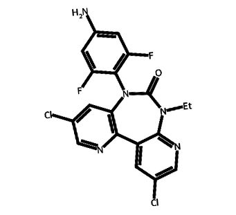 CCN1C(=O)N(c2c(F)cc(N)cc2F)c2cc(Cl)cnc2-c2cc(Cl)cnc21